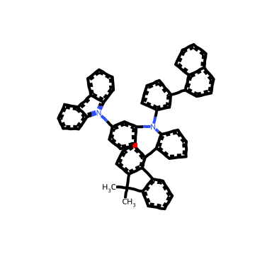 CC1(C)c2ccccc2-c2c(-c3ccccc3N(c3cccc(-c4cccc5ccccc45)c3)c3cccc(-n4c5ccccc5c5ccccc54)c3)cccc21